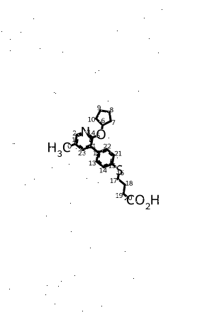 Cc1cnc(OC2CCCC2)c(-c2ccc(SCCCC(=O)O)cc2)c1